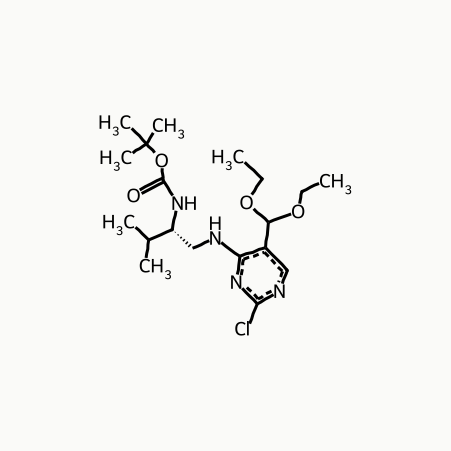 CCOC(OCC)c1cnc(Cl)nc1NC[C@@H](NC(=O)OC(C)(C)C)C(C)C